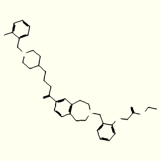 CCOC(=O)COc1ccccc1CN1CCc2ccc(C(=O)CCCC3CCN(Cc4ccccc4C)CC3)cc2CC1